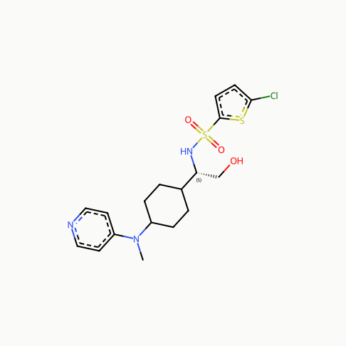 CN(c1ccncc1)C1CCC([C@@H](CO)NS(=O)(=O)c2ccc(Cl)s2)CC1